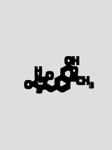 COc1ccc(C=C2SC(=O)NC2=O)cc1CC(=O)O